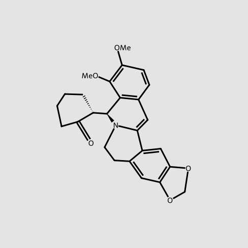 COc1ccc2c(c1OC)[C@H]([C@H]1CCCCC1=O)N1CCc3cc4c(cc3C1=C2)OCO4